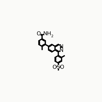 Cc1ccc(C(N)=O)cc1-c1ccc2c(-c3ccc(S(C)(=O)=O)cc3C)nncc2c1